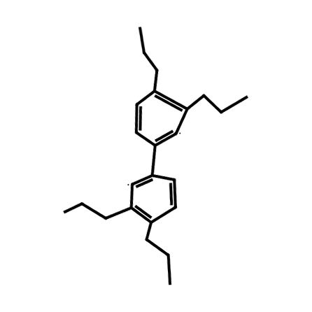 CCCc1[c]c(-c2[c]c(CCC)c(CCC)cc2)ccc1CCC